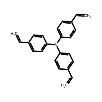 C=Cc1ccc(N(c2ccc(C=C)cc2)c2ccc(C=C)cc2)cc1